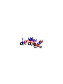 COc1ccc(S(=O)(=O)Nc2ncnc(OCCOC(=O)Nc3ccccc3F)c2Oc2ccccc2OC)cc1OCC(=O)N1CCOCC1